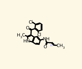 C/C=C/C(=O)Nc1ccc2[nH]c(C)c(C(=O)c3c(Cl)cccc3Cl)c2c1